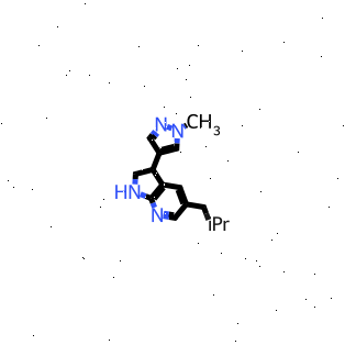 CC(C)Cc1cnc2c(c1)C(c1cnn(C)c1)CN2